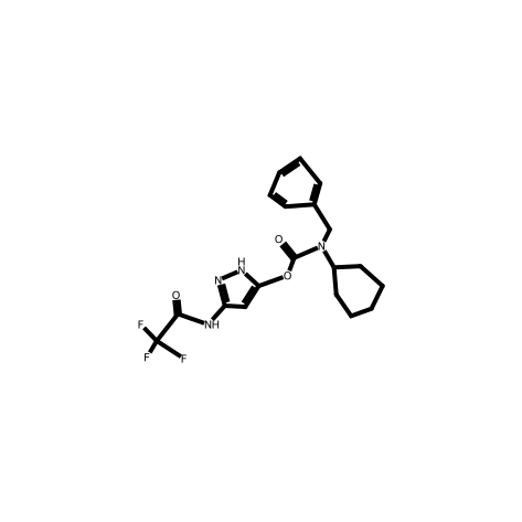 O=C(Oc1cc(NC(=O)C(F)(F)F)n[nH]1)N(Cc1ccccc1)C1CCCCC1